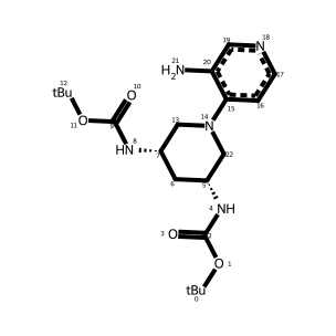 CC(C)(C)OC(=O)N[C@@H]1C[C@H](NC(=O)OC(C)(C)C)CN(c2ccncc2N)C1